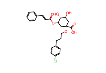 O=C(/C=C/c1ccccc1)O[C@@H]1C[C@](OCCCc2ccc(Cl)cc2)(C(=O)O)C[C@H](O)[C@H]1O